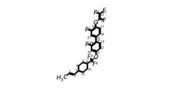 C/C=C/C1CCC(C(F)(F)Oc2ccc(-c3ccc(OC(F)=C(F)F)c(F)c3)c(F)c2)CC1